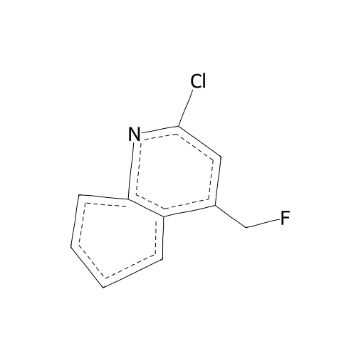 FCc1cc(Cl)nc2ccccc12